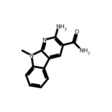 Cn1c2ccccc2c2cc(C(N)=O)c(N)nc21